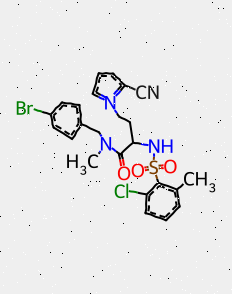 Cc1cccc(Cl)c1S(=O)(=O)NC(CCn1cccc1C#N)C(=O)N(C)Cc1ccc(Br)cc1